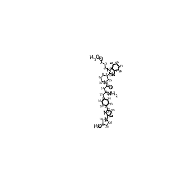 COCCCn1c(C2CCCN(C(=O)CC(N)Cc3ccc(-c4csc(N5CCC(O)C5)n4)cc3)C2)nc2ccccc21